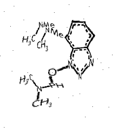 CN(C)POn1nnc2ccccc21.CNC.CNC